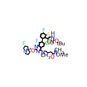 CON(C)C(=O)CCCN(C)c1nc(OC[C@@]23CCCN2C[C@H](F)C3)nc2c(F)c(-c3ccc(F)c4sc(NC(=O)OC(C)(C)C)c(C#N)c34)c(Cl)cc12